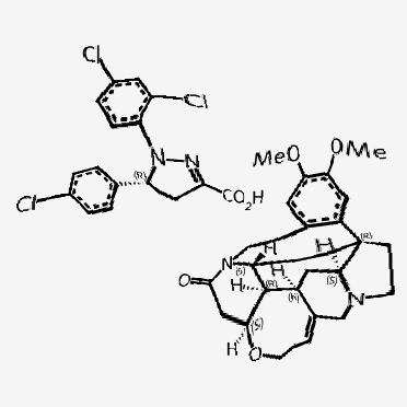 COc1cc2c(cc1OC)[C@@]13CCN4CC5=CCO[C@H]6CC(=O)N2[C@H]1[C@H]6[C@H]5C[C@H]43.O=C(O)C1=NN(c2ccc(Cl)cc2Cl)[C@@H](c2ccc(Cl)cc2)C1